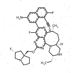 C#Cc1c(F)ccc2cc(N)cc(-c3nc4c5c(nc(OC[C@@]67CCCN6C[C@H](F)C7)nc5c3F)N3C[C@@H](CC)NC[C@@H]3CC[C@H]4C)c12